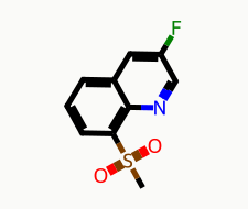 CS(=O)(=O)c1cccc2cc(F)cnc12